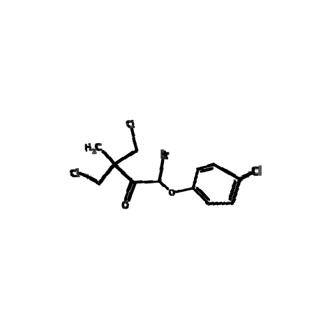 CC(CCl)(CCl)C(=O)C(Br)Oc1ccc(Cl)cc1